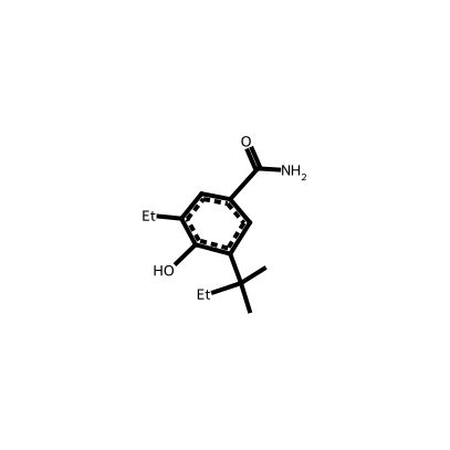 CCc1cc(C(N)=O)cc(C(C)(C)CC)c1O